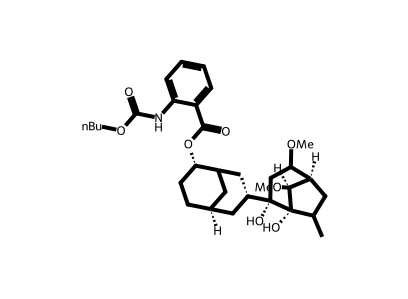 CCCCOC(=O)Nc1ccccc1C(=O)O[C@H]1CC[C@H]2CC1C[C@H]([C@@]1(O)CC(OC)[C@H]3CC(C)[C@]1(O)[C@H]3OC)C2